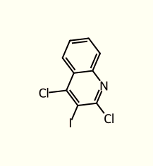 Clc1nc2ccccc2c(Cl)c1I